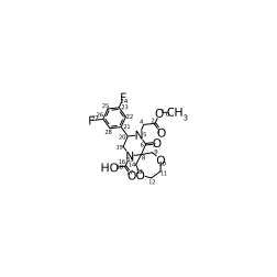 COC(=O)CN1C(=O)C2(COCCOC2)N(C(=O)O)CC1c1cc(F)cc(F)c1